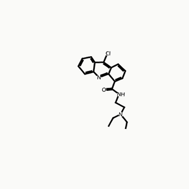 CCN(CC)CCNC(=O)c1cccc2c(Cl)c3ccccc3nc12